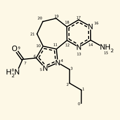 CCCCn1nc(C(N)=O)c2c1-c1nc(N)ncc1CCC2